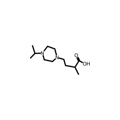 CC(CCN1CCN(C(C)C)CC1)C(=O)O